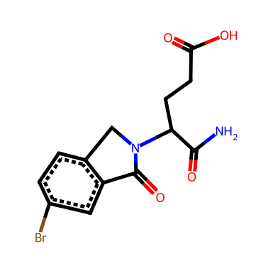 NC(=O)C(CCC(=O)O)N1Cc2ccc(Br)cc2C1=O